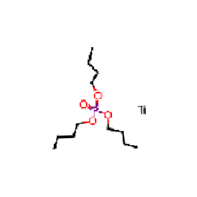 CCCCOP(=O)(OCCCC)OCCCC.[Ti]